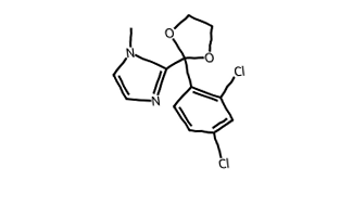 Cn1ccnc1C1(c2ccc(Cl)cc2Cl)OCCO1